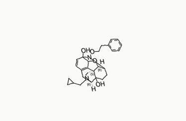 OC12C=CC3=C4C1O[C@H]1C(CCC5(O)[C@@H](C3)N(CC3CC3)CC[C@]415)N2OCCc1ccccc1